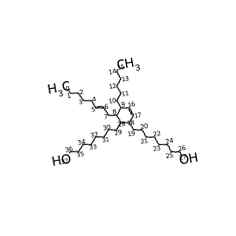 CCCCC/C=C/CC1C(CCCCCC)C=CC(CCCCCCCCO)C1CCCCCCCCO